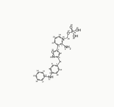 Nc1c(-c2cc(Cc3ccc(Nc4ccccc4)cc3)no2)ccc[n+]1COP(=O)(O)O